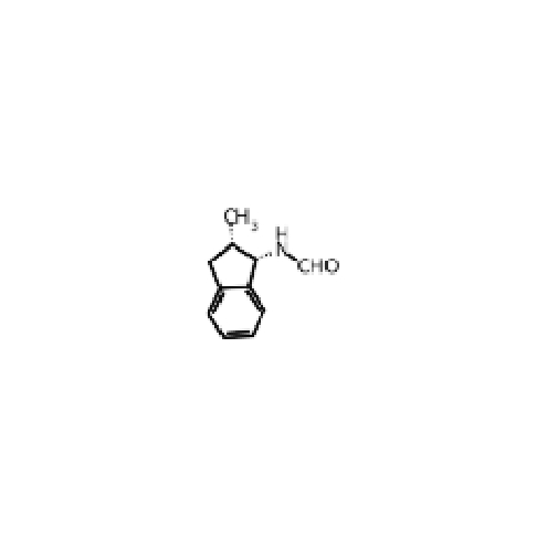 C[C@H]1Cc2ccccc2[C@H]1NC=O